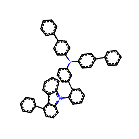 c1ccc(-c2ccc(N(c3ccc(-c4ccccc4)cc3)c3cccc(-c4ccccc4-n4c5ccccc5c5c(-c6ccccc6)cccc54)c3)cc2)cc1